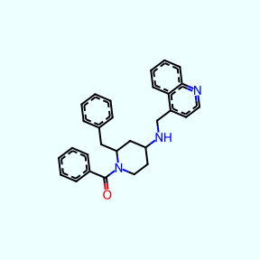 O=C(c1ccccc1)N1CCC(NCc2ccnc3ccccc23)CC1Cc1ccccc1